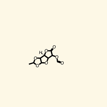 CC1OC2OC3C(OC=O)C(=O)O[C@@H]3C2O1